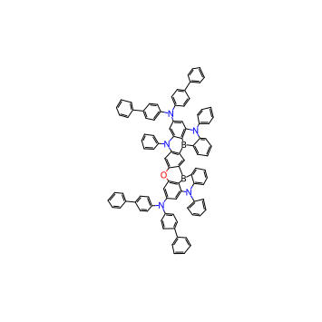 c1ccc(-c2ccc(N(c3ccc(-c4ccccc4)cc3)c3cc4c5c(c3)N(c3ccccc3)c3ccccc3B5c3cc5c(cc3O4)N(c3ccccc3)c3cc(N(c4ccc(-c6ccccc6)cc4)c4ccc(-c6ccccc6)cc4)cc4c3B5c3ccccc3N4c3ccccc3)cc2)cc1